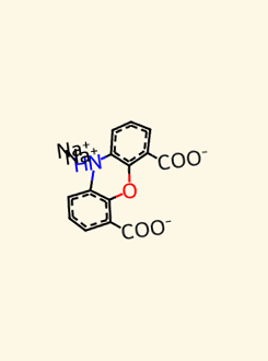 O=C([O-])c1cccc2c1Oc1c(cccc1C(=O)[O-])N2.[Na+].[Na+]